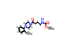 CC(C)(C)OC(=O)NCCCC(=O)N1CCN(c2ccccc2C(C)(C)C)CC1